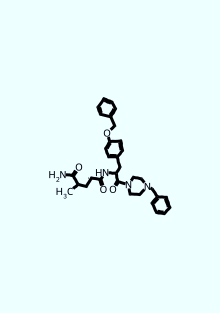 CC(C[CH]C(=O)NC(Cc1ccc(OCc2ccccc2)cc1)C(=O)N1CCN(Cc2ccccc2)CC1)C(N)=O